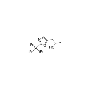 CC(O)Cc1cnc([Si](C(C)C)(C(C)C)C(C)C)o1